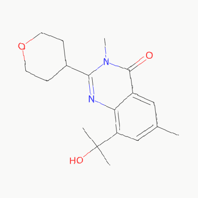 Cc1cc(C(C)(C)O)c2nc(C3CCOCC3)n(C)c(=O)c2c1